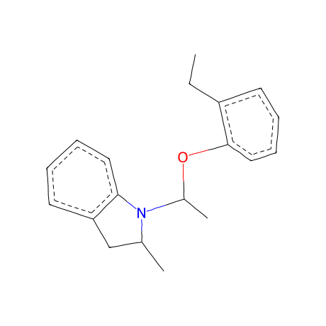 CCc1ccccc1OC(C)N1c2ccccc2CC1C